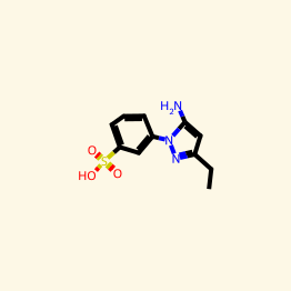 CCc1cc(N)n(-c2cccc(S(=O)(=O)O)c2)n1